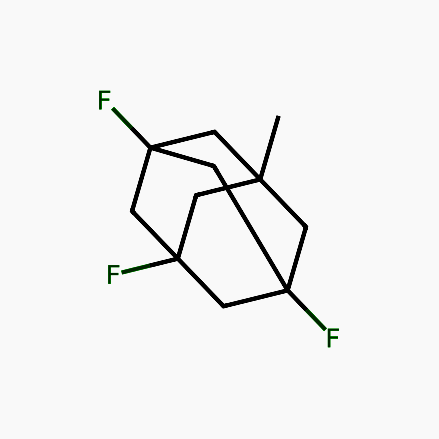 CC12CC3(F)CC(F)(C1)CC(F)(C2)C3